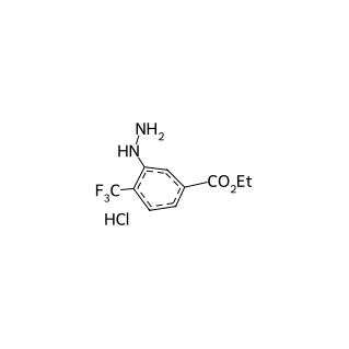 CCOC(=O)c1ccc(C(F)(F)F)c(NN)c1.Cl